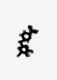 Cc1nc(Sc2ccc([N+](=O)[O-])cc2)nc(C)c1C